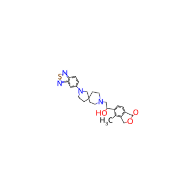 Cc1c([C@@H](O)CN2CCC3(CC2)CCN(c2ccc4nsnc4c2)C3)ccc2c1COC2=O